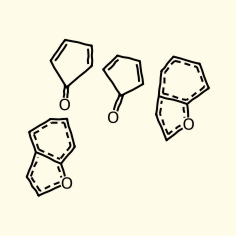 O=C1C=CC=C1.O=C1C=CC=C1.c1ccc2occc2c1.c1ccc2occc2c1